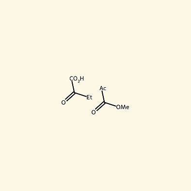 CCC(=O)C(=O)O.COC(=O)C(C)=O